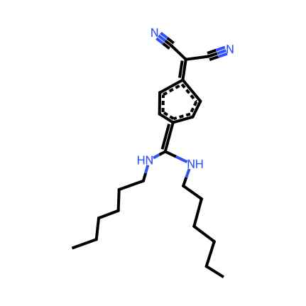 CCCCCCNC(NCCCCCC)=c1ccc(=C(C#N)C#N)cc1